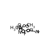 CO[C@H]1CC[C@H](n2c(=O)n(C)c3cnc4cc(F)c(-c5ccc(OCCCN6CCC6)cc5)cc4c32)C1